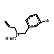 C=CCN(CCCCC)Cc1cccc(Br)c1